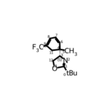 CC(C)(C)C1=N[C@@H](C2(C)C=CC=C(C(F)(F)F)C2)CO1